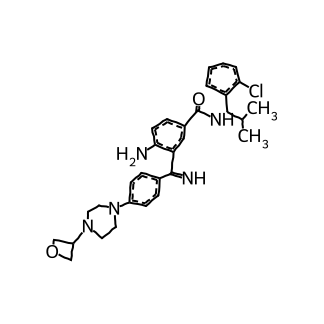 CC(C)C(NC(=O)c1ccc(N)c(C(=N)c2ccc(N3CCN(C4COC4)CC3)cc2)c1)c1ccccc1Cl